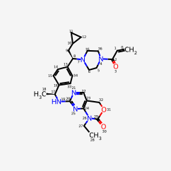 C=CC(=O)N1CCN([C@H](CC2CC2)c2ccc([C@H](C)Nc3ncc4c(n3)N(CC)C(=O)OC4)cc2)CC1